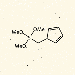 CO[Si](CC1C=CC=C1)(OC)OC